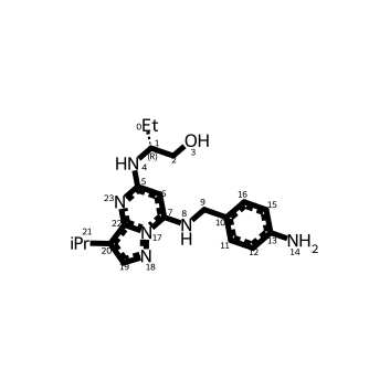 CC[C@H](CO)Nc1cc(NCc2ccc(N)cc2)n2ncc(C(C)C)c2n1